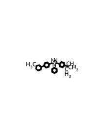 CC1C=C(c2ccc(-c3nnc(-c4ccc(C(C)(C)C)cc4)n3-c3ccccc3)cc2)C=CC1